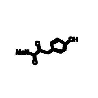 CNC(=O)C(=O)Cc1ccc(O)cc1